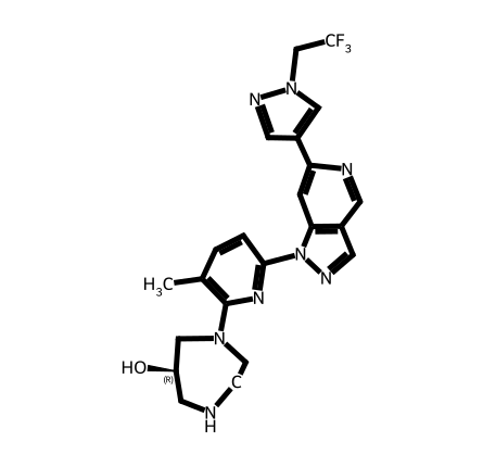 Cc1ccc(-n2ncc3cnc(-c4cnn(CC(F)(F)F)c4)cc32)nc1N1CCNC[C@@H](O)C1